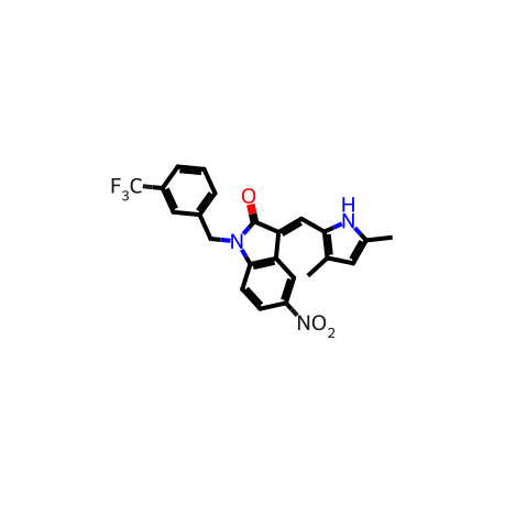 Cc1cc(C)c(C=C2C(=O)N(Cc3cccc(C(F)(F)F)c3)c3ccc([N+](=O)[O-])cc32)[nH]1